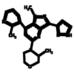 Cc1ncccc1-c1cc(N2CCOCC2C)nc2c(-c3cc[nH]n3)nn(C)c12